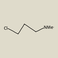 C[N]CCCCl